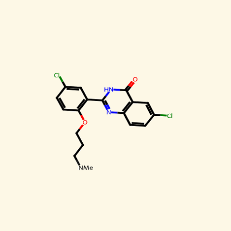 CNCCCOc1ccc(Cl)cc1-c1nc2ccc(Cl)cc2c(=O)[nH]1